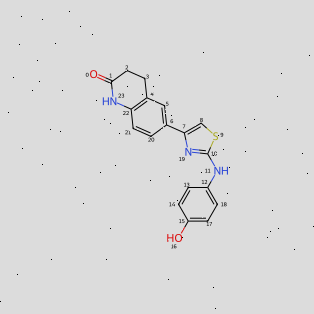 O=C1CCc2cc(-c3csc(Nc4ccc(O)cc4)n3)ccc2N1